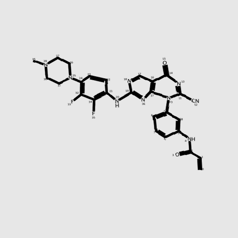 C=CC(=O)Nc1cccc(-n2c(C#N)nc(=O)c3cnc(Nc4ccc(N5CCN(C)CC5)c(F)c4F)nc32)c1